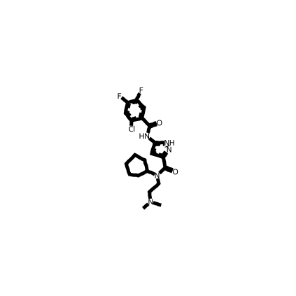 CN(C)CCN(C(=O)c1cc(NC(=O)c2cc(F)c(F)cc2Cl)[nH]n1)C1CCCCC1